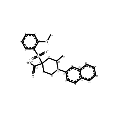 COc1ccccc1S(=O)(=O)C1(C(=O)O)CCN(c2ccc3ccccc3c2)C(C)C1